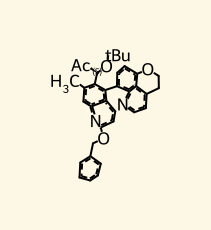 CC(=O)[C@@H](OC(C)(C)C)c1c(C)cc2nc(OCc3ccccc3)ccc2c1-c1ccc2c3c(ccnc13)CCO2